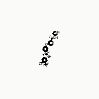 Cn1c(Nc2ccc(Cl)c(C(F)(F)F)c2)nc2cc(Oc3ccnc(C(=O)N[C@@H]4CCNC4)c3)ccc21